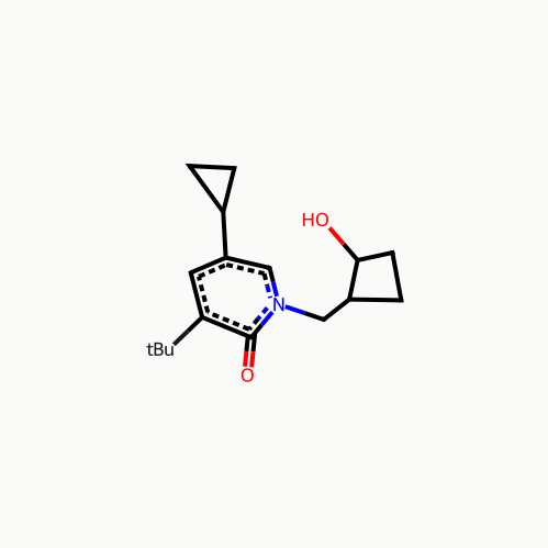 CC(C)(C)c1cc(C2CC2)cn(CC2CCC2O)c1=O